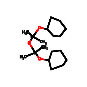 C[Si](C)(OC1CCCCC1)O[Si](C)(C)OC1CCCCC1